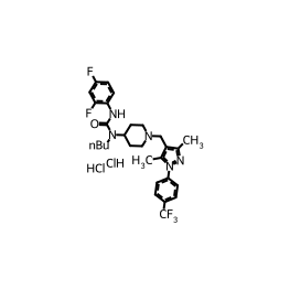 CCCCN(C(=O)Nc1ccc(F)cc1F)C1CCN(Cc2c(C)nn(-c3ccc(C(F)(F)F)cc3)c2C)CC1.Cl.Cl